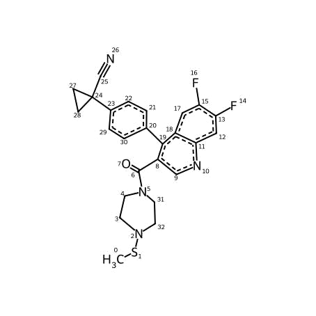 CSN1CCN(C(=O)c2cnc3cc(F)c(F)cc3c2-c2ccc(C3(C#N)CC3)cc2)CC1